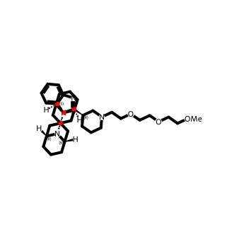 COCCOCCOCCN1CCC[C@@H](c2nc3ccccc3n2[C@H]2C[C@H]3CCC[C@@H](C2)N3[C@H]2C[C@@H]3CCC[C@@H](C3)C2)C1